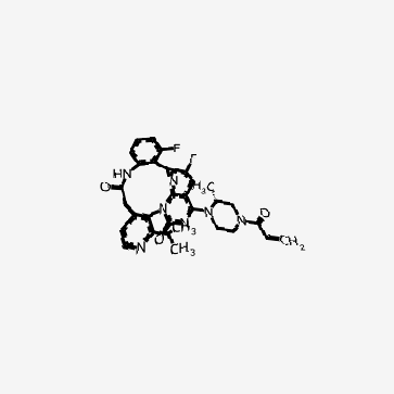 C=CC(=O)N1CCN(c2nc(=O)n3c4nc(c(F)cc24)-c2c(F)cccc2NC(=O)Cc2ccnc(C(C)C)c2-3)[C@H](C)C1